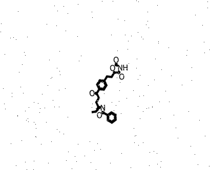 Cc1oc(-c2ccccc2)nc1CCC(=O)c1ccc(CCC2OC(=O)NC2=O)cc1